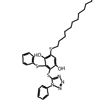 CCCCCCCCCCCCSc1cc(O)c(Sc2nnnn2-c2ccccc2)c(Sc2ccccc2)c1O